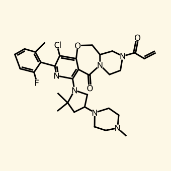 C=CC(=O)N1CCN2C(=O)c3c(N4CC(N5CCN(C)CC5)CC4(C)C)nc(-c4c(C)cccc4F)c(Cl)c3OCC2C1